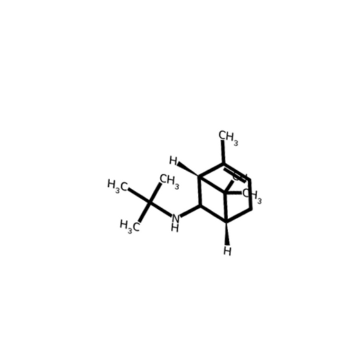 CC1=CC[C@@H]2C(NC(C)(C)C)[C@H]1C2(C)C